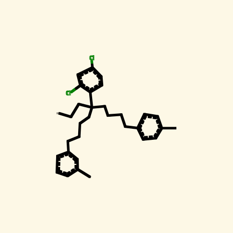 [CH2]CCC(CCCCc1ccc(C)cc1)(CCCCc1cccc(C)c1)c1ccc(Cl)cc1Cl